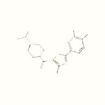 Cc1ccc(-c2nc(C)c(C(=O)C3CCN(C(C)C)CC3)s2)cc1F